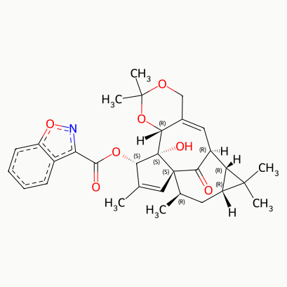 CC1=C[C@]23C(=O)[C@@H](C=C4COC(C)(C)O[C@H]4[C@]2(O)[C@H]1OC(=O)c1noc2ccccc12)[C@H]1[C@@H](C[C@H]3C)C1(C)C